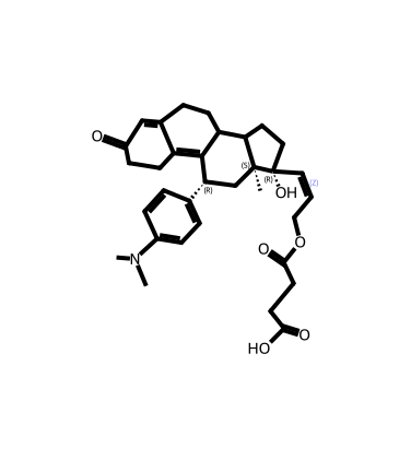 CN(C)c1ccc([C@H]2C[C@@]3(C)C(CC[C@@]3(O)/C=C\COC(=O)CCC(=O)O)C3CCC4=CC(=O)CCC4=C32)cc1